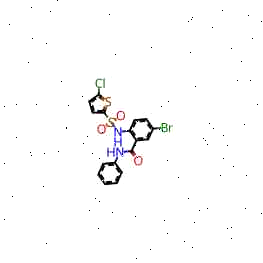 O=C(Nc1ccccc1)c1cc(Br)ccc1NS(=O)(=O)c1ccc(Cl)s1